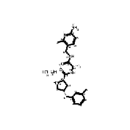 Cc1cccc(C[C@@H]2CN[C@@H](C(=O)N[C@@H](C)C(=O)NCc3ccc(N)nc3C)C2)c1.Cl.Cl